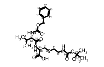 CC(C)[C@H](NC(=O)OCc1ccccc1)C(=O)N[C@@H](CSCCNC(=O)OC(C)(C)C)C(=O)O